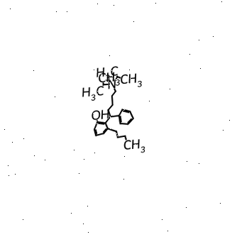 CCCCc1cccc(O)c1C(CCCCN(C(C)C)C(C)C)c1ccccc1